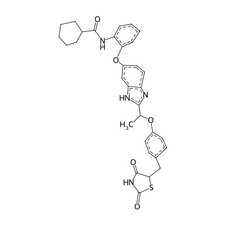 CC(Oc1ccc(CC2SC(=O)NC2=O)cc1)c1nc2ccc(Oc3ccccc3NC(=O)C3CCCCC3)cc2[nH]1